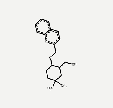 CC1(C)CCC(OCc2ccc3ccccc3n2)C(CO)C1